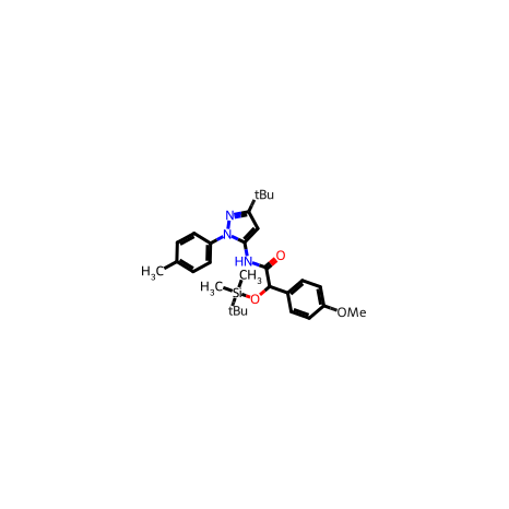 COc1ccc(C(O[Si](C)(C)C(C)(C)C)C(=O)Nc2cc(C(C)(C)C)nn2-c2ccc(C)cc2)cc1